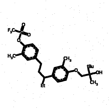 CCC(CCc1ccc(OS(=O)(=O)C(F)(F)F)c(C)c1)c1ccc(OCC(C)(O)C(C)(C)C)c(C)c1